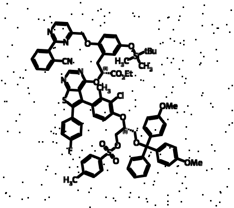 CCOC(=O)[C@@H](Cc1cc(O[Si](C)(C)C(C)(C)C)ccc1OCc1ccnc(-c2ccccc2C#N)n1)Oc1ncnc2sc(-c3ccc(F)cc3)c(-c3ccc(O[C@H](COC(c4ccccc4)(c4ccc(OC)cc4)c4ccc(OC)cc4)COS(=O)(=O)c4ccc(C)cc4)c(Cl)c3C)c12